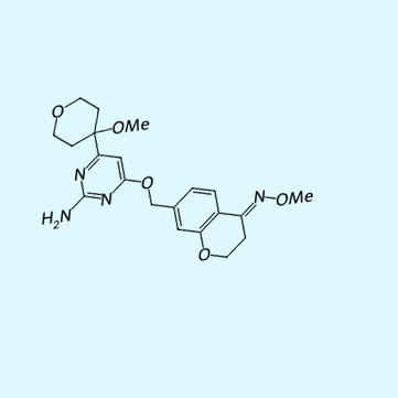 CON=C1CCOc2cc(COc3cc(C4(OC)CCOCC4)nc(N)n3)ccc21